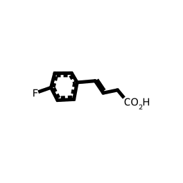 O=C(O)CC=Cc1ccc(F)cc1